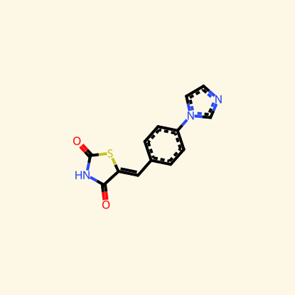 O=C1NC(=O)C(=Cc2ccc(-n3ccnc3)cc2)S1